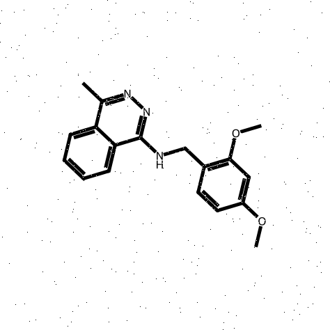 COc1ccc(CNc2nnc(C)c3ccccc23)c(OC)c1